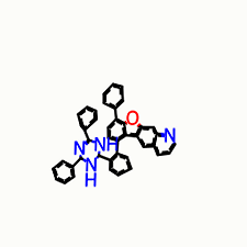 c1ccc(C2=NC(c3ccccc3)NC(c3ccccc3-c3ccc(-c4ccccc4)c4oc5cc6ncccc6cc5c34)N2)cc1